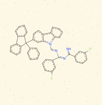 N=C(/N=C(\N=C\n1c2ccccc2c2ccc(C3(c4ccccc4)c4ccccc4-c4ccccc43)cc21)c1cccc(F)c1)c1cccc(F)c1